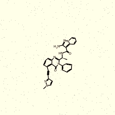 C[C@H](NC(=O)c1c(N)nn2ccccc12)c1nc2cccc(C#Cc3ccn(C)n3)c2c(=O)n1-c1ccccc1